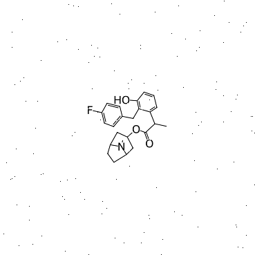 CC(C(=O)OC1CC2CCC(C1)N2C)c1cccc(O)c1Cc1ccc(F)cc1